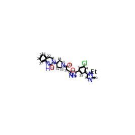 CCn1c(-c2cc(Cl)cc(-c3nnc(CC(=O)N4CCC(N5CCc6ccccc6NC5=O)CC4)o3)c2)cnc1C